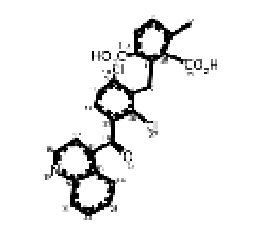 Cc1ccc(C(=O)O)c(Cc2c(Cl)ccc(C(=O)c3ccnc4ccccc34)c2Cl)c1C(=O)O